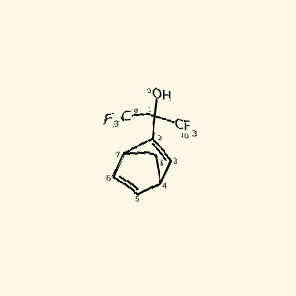 OC(C1=CC2C=CC1C2)(C(F)(F)F)C(F)(F)F